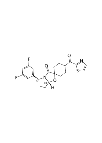 O=C(c1nccs1)C1CCC2(CC1)O[C@@H]1CC[C@@H](c3cc(F)cc(F)c3)N1C2=O